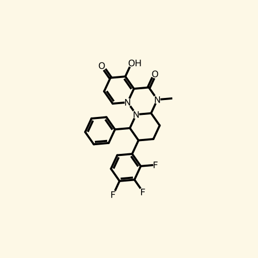 CN1C(=O)c2c(O)c(=O)ccn2N2C(c3ccccc3)C(c3ccc(F)c(F)c3F)CCC12